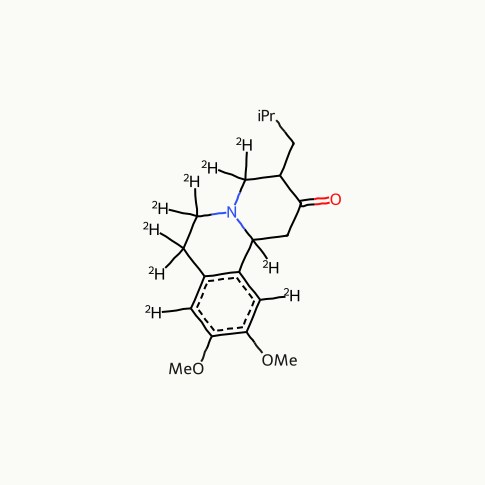 [2H]c1c(OC)c(OC)c([2H])c2c1C1([2H])CC(=O)C(CC(C)C)C([2H])([2H])N1C([2H])([2H])C2([2H])[2H]